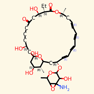 CC[C@@H]1C(=O)O[C@H](C)C/C=C/C=C/C=C/C=C/[C@H](OC2OC(C)C3OC3(N)C2O)CC2O[C@](O)(C[C@@H](O)CCCC(=O)C[C@H]1O)C[C@H](O)[C@H]2C